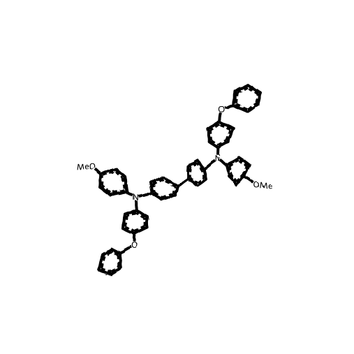 COc1ccc(N(c2ccc(Oc3ccccc3)cc2)c2ccc(-c3ccc(N(c4ccc(OC)cc4)c4ccc(Oc5ccccc5)cc4)cc3)cc2)cc1